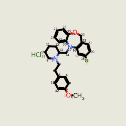 COc1ccc(CCN2CCCCC2CN2c3cc(F)ccc3COc3ccccc32)cc1.Cl